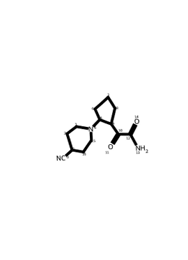 N#CC1CCN(C2CCCC2C(=O)C(N)=O)CC1